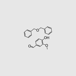 COc1cc(C=O)ccc1O.c1ccc(COCc2ccccc2)cc1